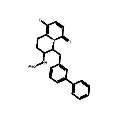 CSNC1CCc2c(F)ccc(=O)n2C1Cc1cccc(-c2ccccc2)c1